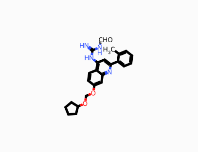 Cc1ccccc1-c1cc(NC(=N)NC=O)c2ccc(OCOC3CCCC3)cc2n1